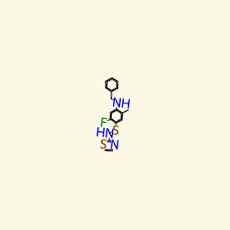 Cc1cc(SNc2nccs2)c(F)cc1NCc1ccccc1